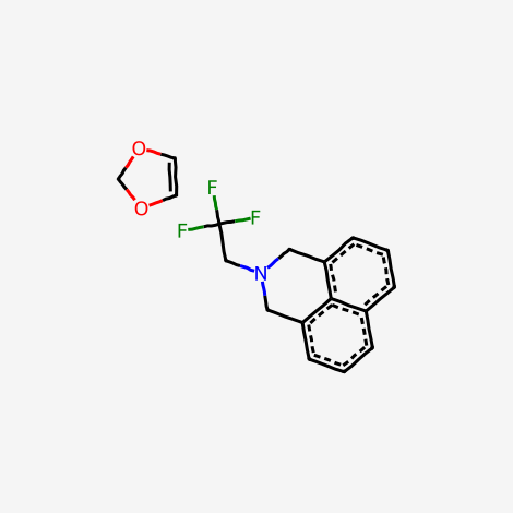 C1=COCO1.FC(F)(F)CN1Cc2cccc3cccc(c23)C1